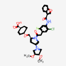 CO[C@H]1CN([C@H]2C[C@@H](CO[C@H]3CC[C@H](C(=O)O)CC3)N(C(=O)Cc3cc(Cl)c(NC(=O)c4coc5ccccc45)cc3F)C2)C[C@@H]1OC